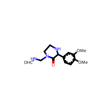 COc1ccc(C2NCCN(CNC=O)C2=O)cc1OC